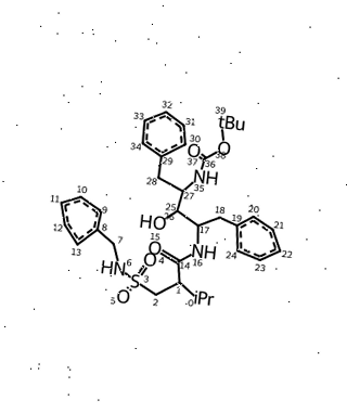 CC(C)C(CS(=O)(=O)NCc1ccccc1)C(=O)NC(Cc1ccccc1)C(O)C(Cc1ccccc1)NC(=O)OC(C)(C)C